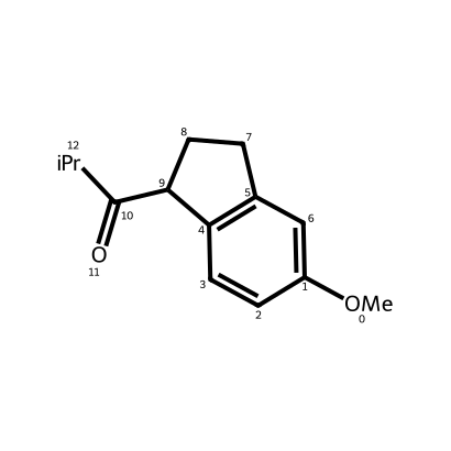 COc1ccc2c(c1)CCC2C(=O)C(C)C